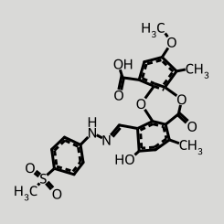 COc1cc(C(=O)O)c2c(c1C)OC(=O)c1c(C)cc(O)c(C=NNc3ccc(S(C)(=O)=O)cc3)c1O2